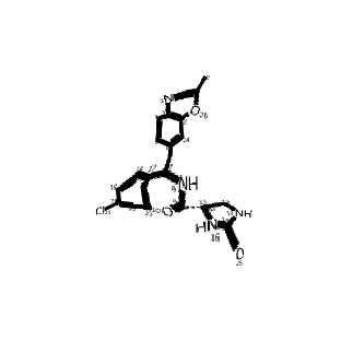 Cc1nc2ccc(C(NC(=O)[C@@H]3CNC(=O)N3)c3ccc(Cl)cc3)cc2o1